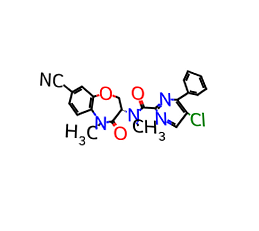 CN1C(=O)[C@@H](N(C)C(=O)c2ncc(Cl)c(-c3ccccc3)n2)COc2cc(C#N)ccc21